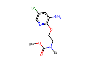 CCN(CCOc1ncc(Br)cc1N)C(=O)OC(C)(C)C